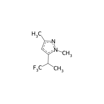 Cc1cc(C(C)C(F)(F)F)n(C)n1